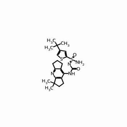 CC(C)(C)c1csc(S(N)(=O)=NC(=O)Nc2c3c(nc4c2CCC4(C)C)CCC3)c1